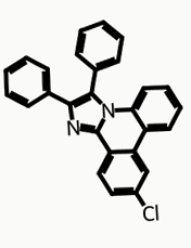 Clc1ccc2c(c1)c1ccccc1n1c(-c3ccccc3)c(-c3ccccc3)nc21